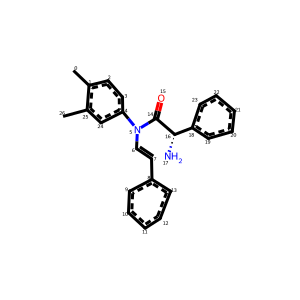 Cc1ccc(N(C=Cc2ccccc2)C(=O)[C@@H](N)c2ccccc2)cc1C